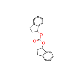 O=C(OC1CCc2ccccc21)OC1CCc2ccccc21